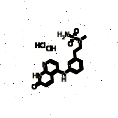 CN(CCc1cccc(Nc2ccnc3[nH]c(=O)ccc23)c1)S(N)(=O)=O.Cl.Cl